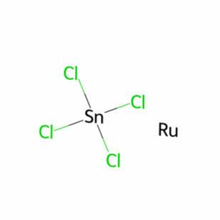 [Cl][Sn]([Cl])([Cl])[Cl].[Ru]